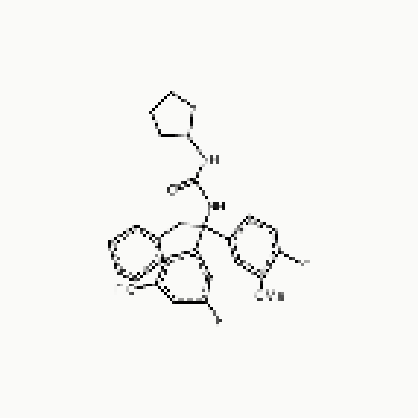 COc1cc(C(Cc2ccccc2)(NC(=O)NC2CCCC2)c2cc(F)cc(C(F)(F)F)c2)ccc1F